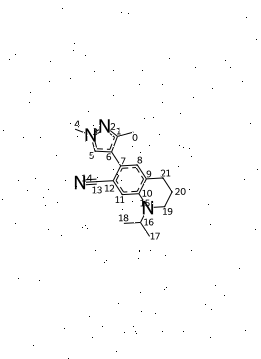 Cc1nn(C)cc1-c1cc2c(cc1C#N)N(C(C)C)CCC2